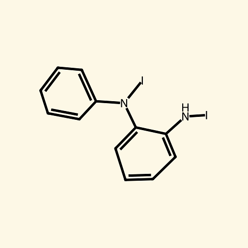 INc1ccccc1N(I)c1ccccc1